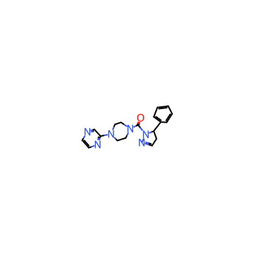 O=C(N1CCN(c2cnccn2)CC1)N1N=CCC1c1ccccc1